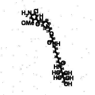 COc1cc(N)c(Cl)cc1C(=O)NC1CCN(CCOCCC(=O)NCCCCCCCC(=O)NC[C@H](O)[C@@H](O)[C@H](O)[C@H](O)CO)CC1